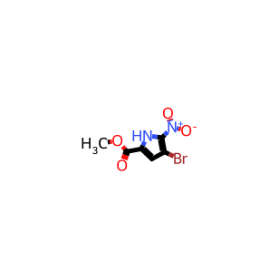 COC(=O)c1cc(Br)c([N+](=O)[O-])[nH]1